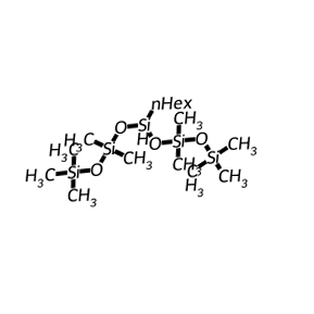 CCCCCC[SiH](O[Si](C)(C)O[Si](C)(C)C)O[Si](C)(C)O[Si](C)(C)C